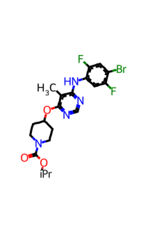 Cc1c(Nc2cc(F)c(Br)cc2F)ncnc1OC1CCN(C(=O)OC(C)C)CC1